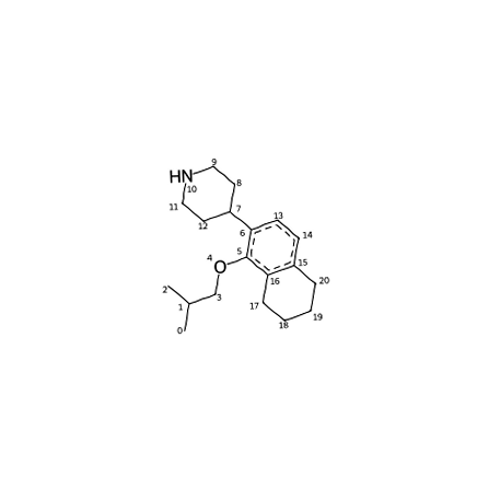 CC(C)COc1c(C2CCNCC2)ccc2c1CCCC2